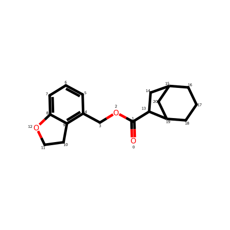 O=C(OCc1cccc2c1CCO2)C1CC2CCCC1C2